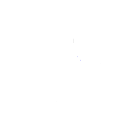 CCc1ccccc1N(CC)C(C)CC